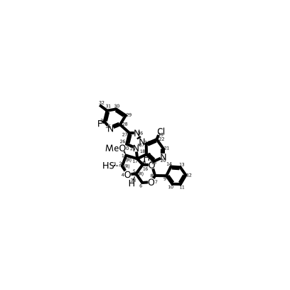 CO[C@H]1[C@@H](S)O[C@@H]2COC(c3ccccc3)O[C@@H]2C1(c1cncc(Cl)c1)n1cc(-c2ccc(C)c(F)n2)nn1